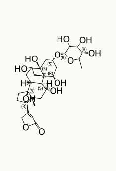 CC1O[C@@H](O[C@H]2C[C@@H](O)[C@]3(CCO)[C@H]4[C@H](O)C[C@]5(C)[C@@H](C6=CC(=O)OC6)CC[C@]5(O)[C@@H]4CC[C@]3(O)C2)C(O)C(O)[C@H]1O